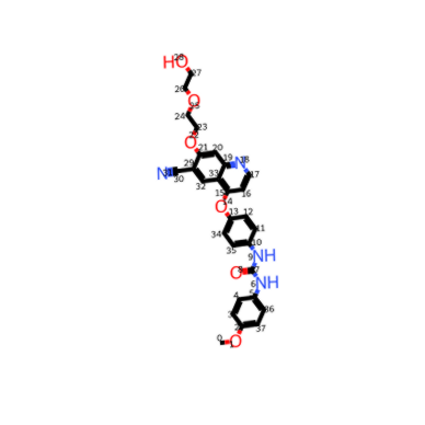 COc1ccc(NC(=O)Nc2ccc(Oc3ccnc4cc(OCCOCCO)c(C#N)cc34)cc2)cc1